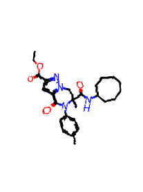 CCOC(=O)c1cc2n(n1)CC(C)(C(=O)NC1CCCCCCC1)N(c1ccc(C)cc1)C2=O